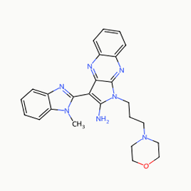 Cn1c(-c2c(N)n(CCCN3CCOCC3)c3nc4ccccc4nc23)nc2ccccc21